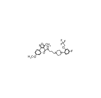 COc1ccc(-c2noc(C)c2C(=O)NCCCN2CCN(c3ccc(F)cc3OCC(F)(F)F)CC2)cc1